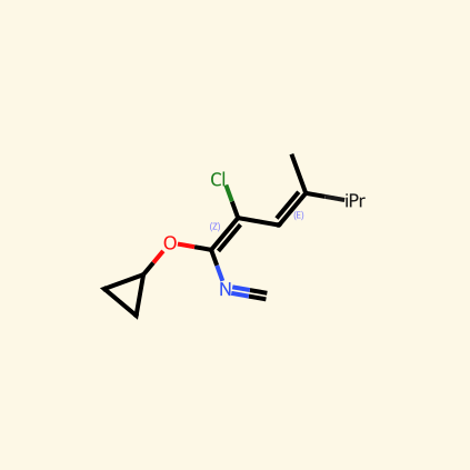 C=N/C(OC1CC1)=C(Cl)\C=C(/C)C(C)C